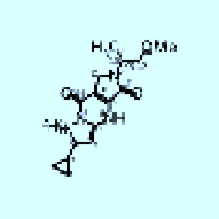 [2H]N1C(C2CC2)C=C2NC3=C(CN([C@@H](C)COC)C3=O)C(=O)N21